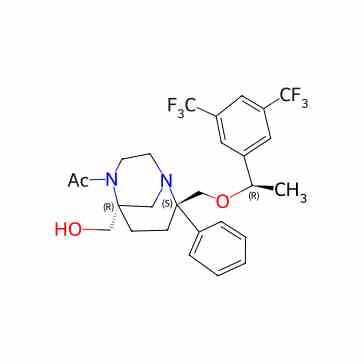 CC(=O)N1CCN2C[C@@]1(CO)CC[C@@]2(CO[C@H](C)c1cc(C(F)(F)F)cc(C(F)(F)F)c1)c1ccccc1